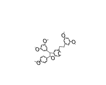 COc1ccc(C2Oc3ccc(CCc4cc(OC)cc(OC)c4)cc3C2c2cc(OC)cc(OC)c2)cc1